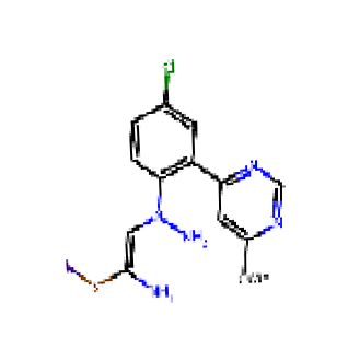 COc1cc(-c2cc(Cl)ccc2N(N)/C=C(\N)SI)ncn1